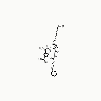 C[C@@H](NC(=O)[C@@H]1C[C@]2(COCCCCCC(=O)O)C[C@@H]2N1C(=O)CNC(=O)CCCOc1ccccc1)c1cc(C(=N)N)cs1